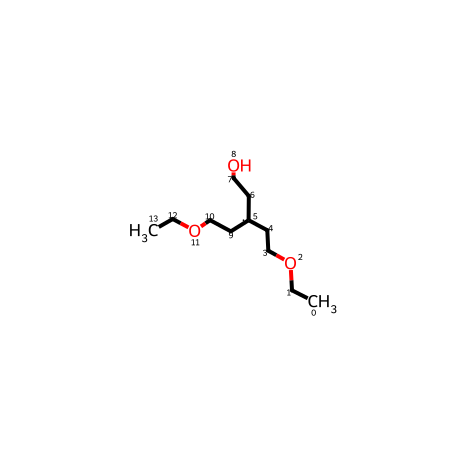 CCOCC[C](CCO)CCOCC